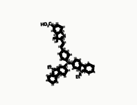 CCn1c2ccccc2c2ccc(N(c3ccc(/C=C/C4=Nc5ccc(C(=O)O)cc5C4(C)C)cc3)c3ccc4c5ccccc5n(CC)c4c3)cc21